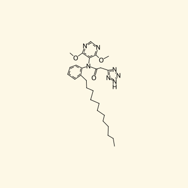 CCCCCCCCCCCCc1ccccc1N(C(=O)Cc1nn[nH]n1)c1c(OC)ncnc1OC